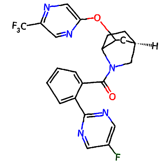 O=C(c1ccccc1-c1ncc(F)cn1)N1C[C@@H]2CCC1C(Oc1cnc(C(F)(F)F)cn1)C2